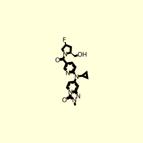 Cn1nc2cc(N(c3ccc(C(=O)N4C[C@@H](F)C[C@H]4CO)cn3)C3CC3)ccn2c1=O